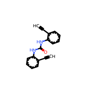 C#Cc1ccccc1NC(=O)Nc1ccccc1C#C